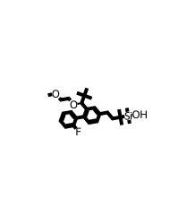 COCCO[C@H](c1cc(CCC(C)(C)[Si](C)(C)O)ccc1-c1ccccc1F)C(C)(C)C